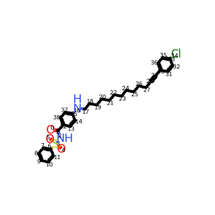 O=C(NS(=O)(=O)c1ccccc1)c1ccc(NCCCCCCCCCCCC#Cc2ccc(Cl)cc2)cc1